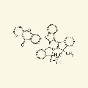 CC1(C)c2ccccc2-c2c1c1c(c3c2c2ccccc2n3-c2ccc3c(=O)c4ccccc4oc3c2)-c2ccccc2C1(C)C